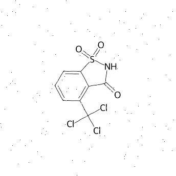 O=C1NS(=O)(=O)c2cccc(C(Cl)(Cl)Cl)c21